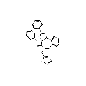 Cn1ncnc1CN1Cc2ccccc2[C@@H]2OC(c3ccccc3)=N[C@]2(Cc2ccccc2)C1=O